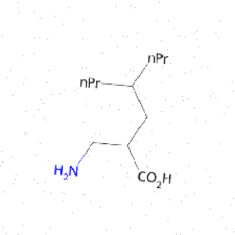 CCCC(CCC)CC(CN)C(=O)O